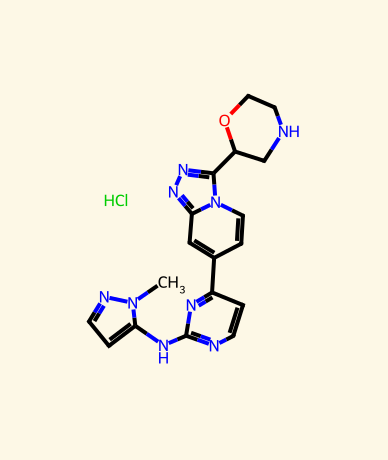 Cl.Cn1nccc1Nc1nccc(-c2ccn3c(C4CNCCO4)nnc3c2)n1